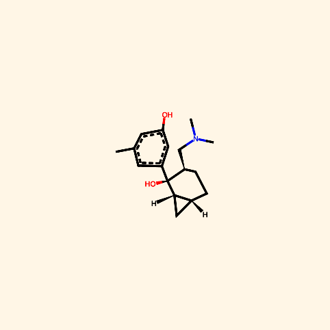 Cc1cc(O)cc([C@]2(O)[C@@H](CN(C)C)CC[C@@H]3C[C@@H]32)c1